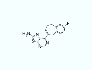 Nc1nc2c(C3=CCCc4cc(F)ccc4C3)ncnc2s1